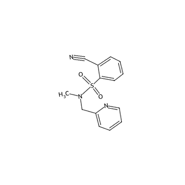 CN(Cc1ccccn1)S(=O)(=O)c1ccccc1C#N